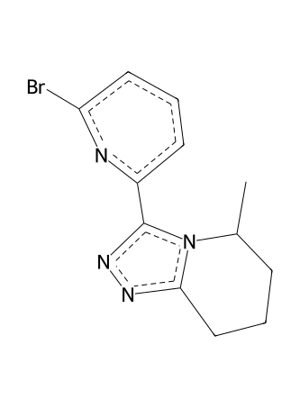 CC1CCCc2nnc(-c3cccc(Br)n3)n21